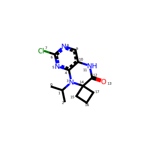 CC(C)N1c2nc(Cl)ncc2NC(=O)C12CCC2